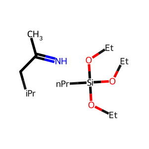 CC(=N)CC(C)C.CCC[Si](OCC)(OCC)OCC